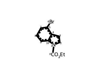 CCOC(=O)n1ccc2c(Br)cccc21